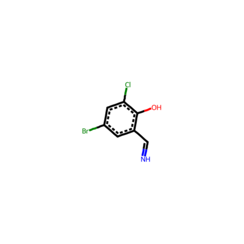 N=Cc1cc(Br)cc(Cl)c1O